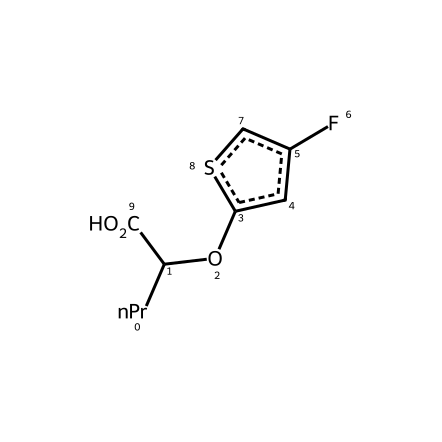 CCCC(Oc1cc(F)cs1)C(=O)O